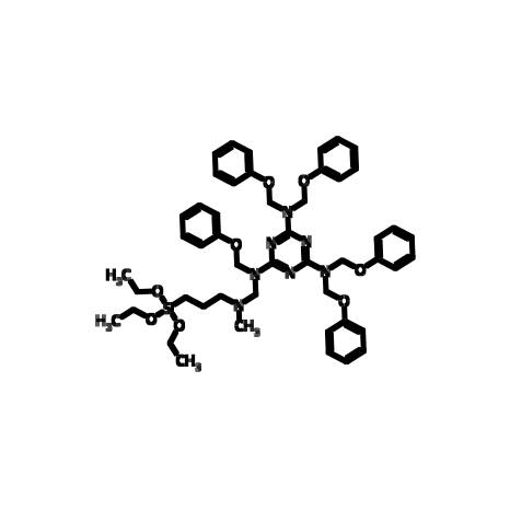 CCO[Si](CCCN(C)CN(COc1ccccc1)c1nc(N(COc2ccccc2)COc2ccccc2)nc(N(COc2ccccc2)COc2ccccc2)n1)(OCC)OCC